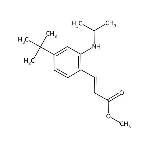 COC(=O)/C=C/c1ccc(C(C)(C)C)cc1NC(C)C